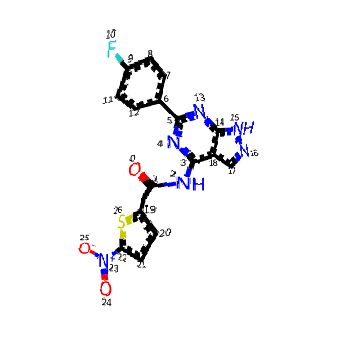 O=C(Nc1nc(-c2ccc(F)cc2)nc2[nH]ncc12)c1ccc([N+](=O)[O-])s1